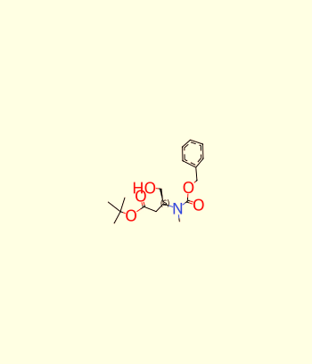 CN(C(=O)OCc1ccccc1)[C@H](CO)CC(=O)OC(C)(C)C